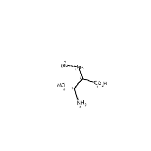 CC(C)(C)NC(CN)C(=O)O.Cl